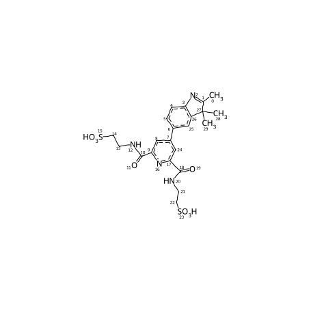 CC1=Nc2ccc(-c3cc(C(=O)NCCS(=O)(=O)O)nc(C(=O)NCCS(=O)(=O)O)c3)cc2C1(C)C